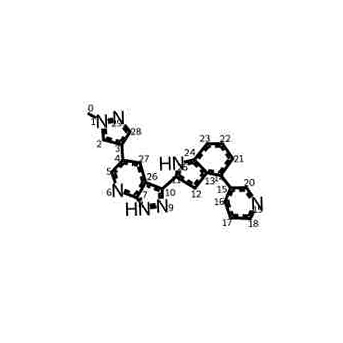 Cn1cc(-c2cnc3[nH]nc(-c4cc5c(-c6cccnc6)cccc5[nH]4)c3c2)cn1